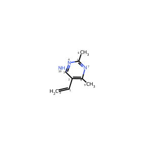 C=Cc1cnc(C)nc1C.N